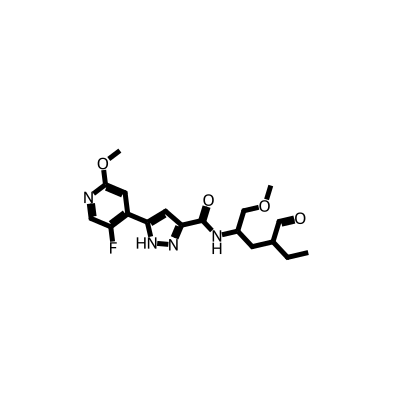 CCC(C=O)CC(COC)NC(=O)c1cc(-c2cc(OC)ncc2F)[nH]n1